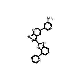 Nc1cncc(-c2cnc3[nH]nc(-c4nc5c(-c6ccccn6)cccc5[nH]4)c3c2)c1